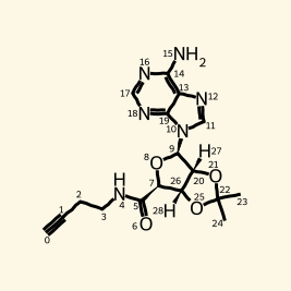 C#CCCNC(=O)[C@H]1O[C@@H](n2cnc3c(N)ncnc32)[C@@H]2OC(C)(C)O[C@@H]21